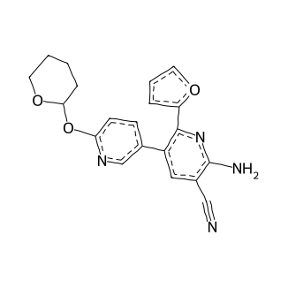 N#Cc1cc(-c2ccc(OC3CCCCO3)nc2)c(-c2ccco2)nc1N